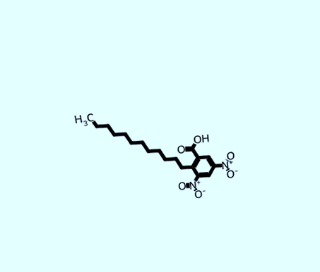 CCCCCCCCCCCCc1c(C(=O)O)cc([N+](=O)[O-])cc1[N+](=O)[O-]